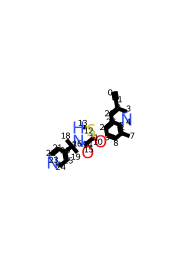 C#Cc1cnc2c(C)cc(OC(SC)C(=O)NC(C)(C)c3ccncc3)cc2c1